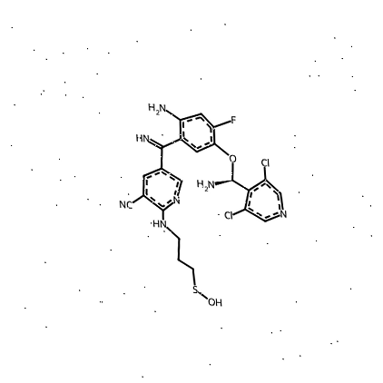 N#Cc1cc(C(=N)c2cc(O[C@H](N)c3c(Cl)cncc3Cl)c(F)cc2N)cnc1NCCCSO